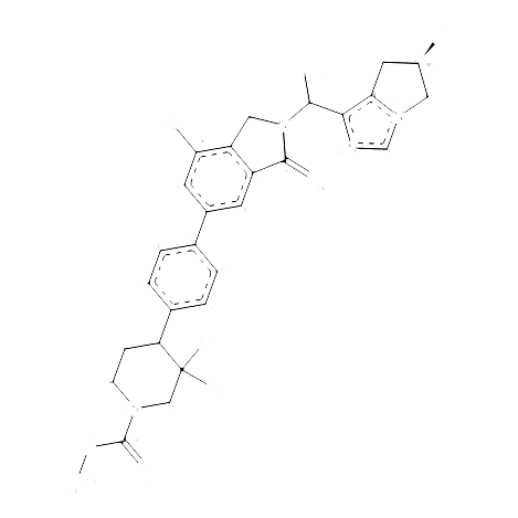 CCOC(=O)C(c1ncn2c1C[C@@H](F)C2)N1Cc2c(Cl)cc(-c3ccc(C4CCN(C(=O)OC(C)(C)C)CC4(F)F)cc3)cc2C1=O